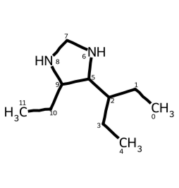 CCC(CC)C1NCNC1CC